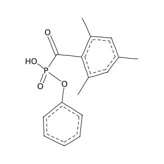 Cc1cc(C)c(C(=O)P(=O)(O)Oc2ccccc2)c(C)c1